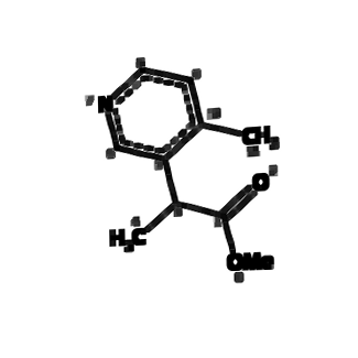 COC(=O)C(C)c1cnccc1C